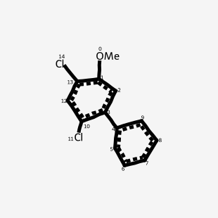 COc1cc(-c2ccccc2)c(Cl)cc1Cl